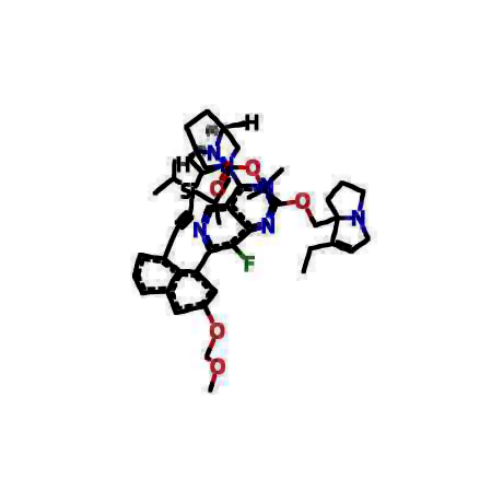 CCC1=CCN2CCCC12COc1nc(N2C[C@H]3CC[C@@H](C2)N3C(=O)OC(C)(C)C)c2cnc(-c3cc(OCOC)cc4cccc(C#C[Si](C(C)C)(C(C)C)C(C)C)c34)c(F)c2n1